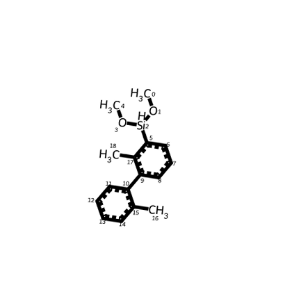 CO[SiH](OC)c1cccc(-c2ccccc2C)c1C